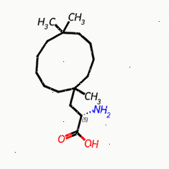 CC1(C)CCCCCC(C)(C[C@H](N)C(=O)O)CCCC1